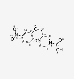 O=C(O)N1CCN2c3ccc([N+](=O)[O-])cc3OCC2C1